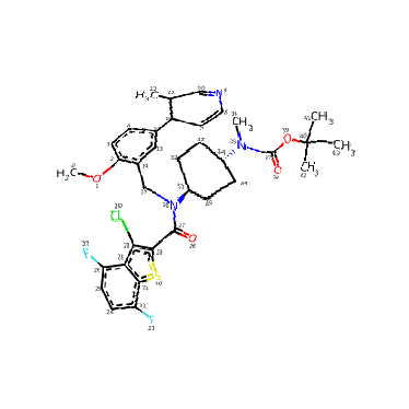 COc1ccc(C2C=CN=CC2C)cc1CN(C(=O)c1sc2c(F)ccc(F)c2c1Cl)[C@H]1CC[C@H](N(C)C(=O)OC(C)(C)C)CC1